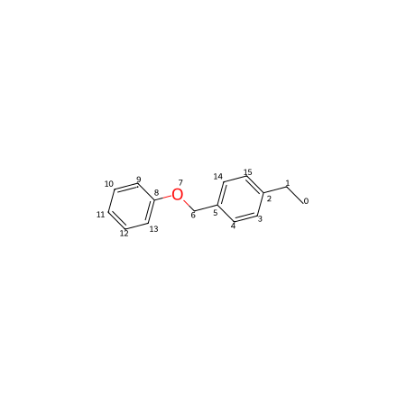 CCc1ccc(COc2[c]cccc2)cc1